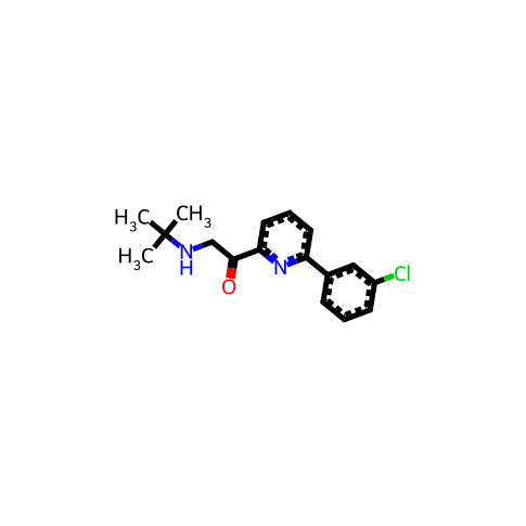 CC(C)(C)NCC(=O)c1cccc(-c2cccc(Cl)c2)n1